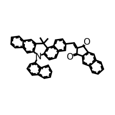 CC1(C)c2cc3ccccc3cc2N(c2cccc3ccccc23)c2ccc3cc(C=C4C(=O)c5cc6ccccc6cc5C4=O)ccc3c21